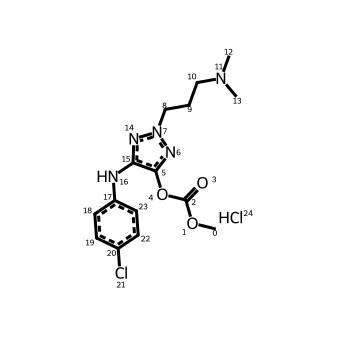 COC(=O)Oc1nn(CCCN(C)C)nc1Nc1ccc(Cl)cc1.Cl